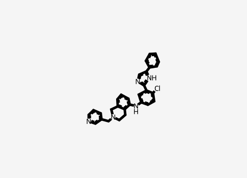 Clc1ccc(Nc2cccc3c2CCN(Cc2cccnc2)C3)cc1-c1ncc(-c2ccccc2)[nH]1